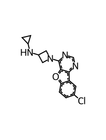 Clc1ccc2oc3c(N4CC(NC5CC5)C4)ncnc3c2c1